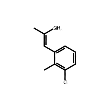 CC([SiH3])=Cc1cccc(Cl)c1C